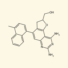 Cc1ccc(-c2cc3nc(N)nc(N)c3c3c2CC(CO)O3)c2ccccc12